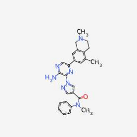 Cc1cc(-c2cnc(N)c(-n3cc(C(=O)N(C)c4ccccc4)cn3)n2)cc2c1CCN(C)C2